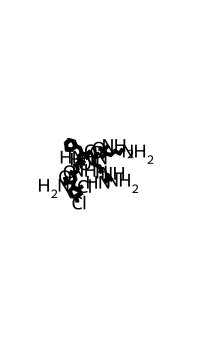 N=C(N)NCCCC(NC(=O)C(Cc1ccccc1)NC(=O)CNC(=O)CC(C(N)=O)c1ccc(Cl)cc1Cl)C(=O)NC(CCCCN)C(N)=O